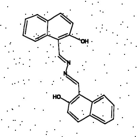 Oc1ccc2ccccc2c1/C=N/N=C/c1c(O)ccc2ccccc12